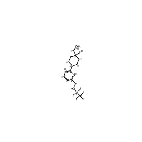 CC(C)(C)[Si](C)(C)OCc1ccnc(N2CCC(F)(CO)CC2)n1